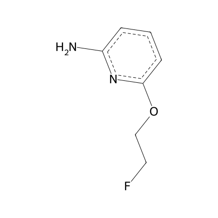 Nc1cccc(OCCF)n1